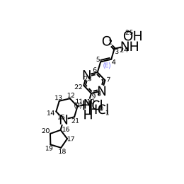 Cl.Cl.O=C(/C=C/c1cnc(N[C@@H]2CCCN(C3CCCC3)C2)cn1)NO